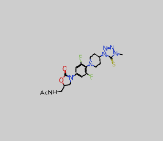 CC(=O)NCC1CN(c2cc(F)c(N3CCC(n4nnn(C)c4=S)CC3)c(F)c2)C(=O)O1